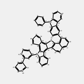 c1ccc(-n2c3ccncc3c3cc(-c4cccc5ccc6c(sc7c8ccccc8c8c(c9ccccc9n8-c8ccnc(-c9cccnc9)c8)c67)c45)ccc32)cc1